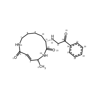 CC1/C=C/C(=O)NCCCC[C@H](NCC(=O)c2ccccc2)C(=O)N1